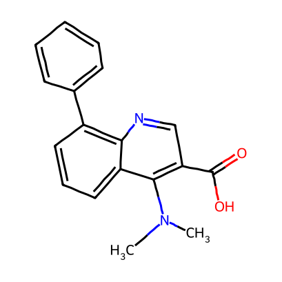 CN(C)c1c(C(=O)O)cnc2c(-c3ccccc3)cccc12